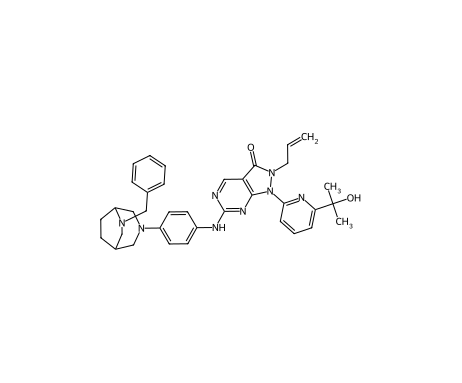 C=CCn1c(=O)c2cnc(Nc3ccc(N4CC5CCC(C4)N(Cc4ccccc4)C5)cc3)nc2n1-c1cccc(C(C)(C)O)n1